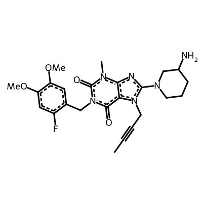 CC#CCn1c(N2CCCC(N)C2)nc2c1c(=O)n(Cc1cc(OC)c(OC)cc1F)c(=O)n2C